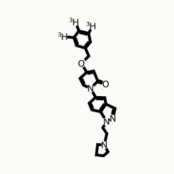 [3H]c1cc(COc2ccn(-c3ccc4c(cnn4CCN4CCCC4)c3)c(=O)c2)cc([3H])c1[3H]